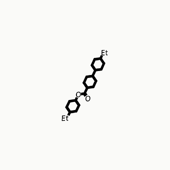 CCC1CCC(OC(=O)C2CCC(C3CCC(CC)CC3)CC2)CC1